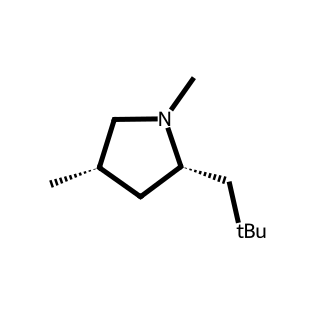 C[C@H]1C[C@@H](CC(C)(C)C)N(C)C1